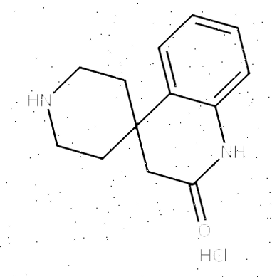 Cl.O=C1CC2(CCNCC2)c2ccccc2N1